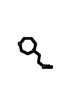 COCCN1CCCOCC1